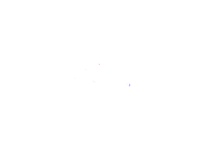 CC(O)(O)NCCN